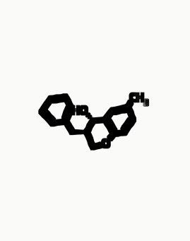 Cc1ccc2c(c1)[C@@H](O)[C@H](Cc1ccccc1)CO2